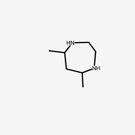 CC1CC(C)NCCN1